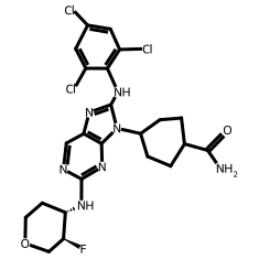 NC(=O)C1CCC(n2c(Nc3c(Cl)cc(Cl)cc3Cl)nc3cnc(N[C@H]4CCOC[C@@H]4F)nc32)CC1